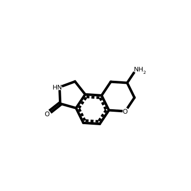 NC1COc2ccc3c(c2C1)CNC3=O